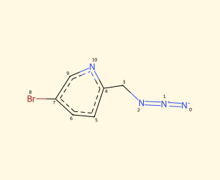 [N-]=[N+]=NCc1ccc(Br)cn1